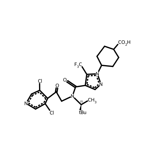 C[C@H](N(CC(=O)c1c(Cl)cncc1Cl)C(=O)c1cnn(C2CCC(C(=O)O)CC2)c1C(F)(F)F)C(C)(C)C